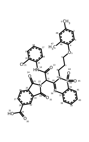 Cc1ccc(OCCCN2C(C(C(=O)Nc3ccccc3Cl)N3C(=O)c4ccc(C(=O)O)cc4C3=O)=Nc3ccccc3S2(=O)=O)c(C)c1